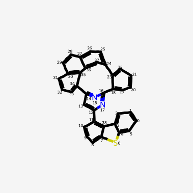 c1ccc2c(c1)sc1cccc(-c3cc4nc(n3)c3ccccc3c3ccc5ccc6cccc4c6c5c3)c12